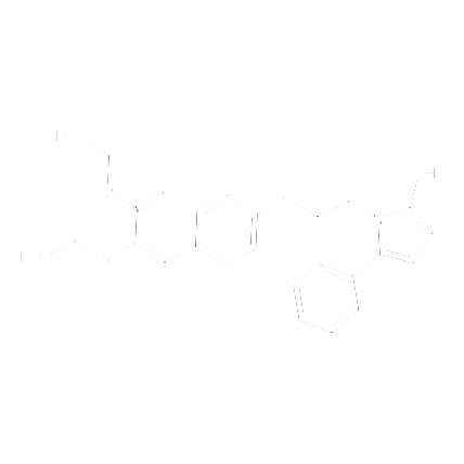 CCOC(=O)/C(=C\c1ccc(OCCn2c(C)ccc2-c2ccccc2)cc1)OCC